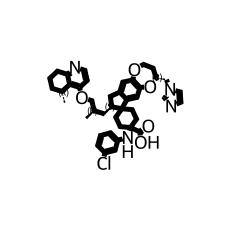 C[C@@H](COc1ccnc2c1[C@H](C)CCC2)C[C@H]1Cc2cc3c(cc2C12CCC(Nc1cccc(Cl)c1)(C(=O)O)CC2)O[C@@H](Cn1ccnc1)CCO3